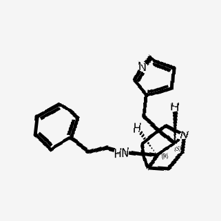 c1ccc(CCN[C@@H]2C3CCN(CC3)[C@H]2Cc2cccnc2)cc1